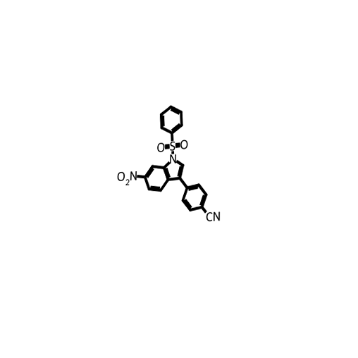 N#Cc1ccc(-c2cn(S(=O)(=O)c3ccccc3)c3cc([N+](=O)[O-])ccc23)cc1